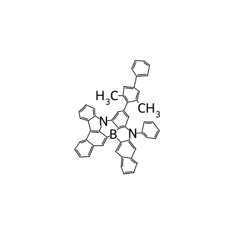 Cc1cc(-c2ccccc2)cc(C)c1-c1cc2c3c(c1)-n1c4ccccc4c4c5ccccc5cc(c41)B3c1cc3ccccc3cc1N2c1ccccc1